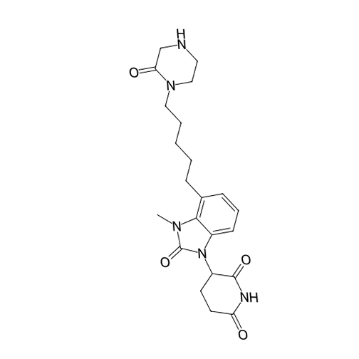 Cn1c(=O)n(C2CCC(=O)NC2=O)c2cccc(CCCCCN3CCNCC3=O)c21